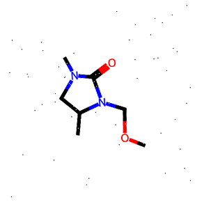 COCN1C(=O)N(C)CC1C